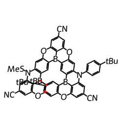 CSN1c2cc3c(cc2B2c4cc(C(C)(C)C)ccc4Oc4cc(C#N)cc1c42)B1c2cc4c(cc2Oc2cc(C#N)cc(c21)O3)N(c1ccc(C(C)(C)C)cc1)c1cc(C#N)cc2c1B4c1cc(C(C)(C)C)ccc1O2